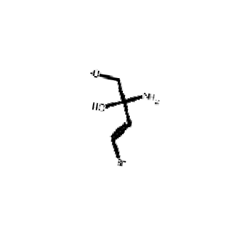 NC(O)(C=CBr)C[O]